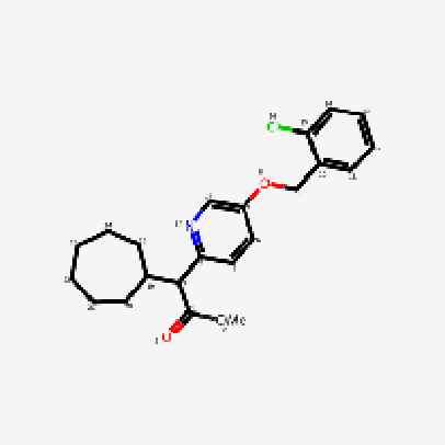 COC(=O)C(c1ccc(OCc2ccccc2Cl)cn1)C1CCCCCC1